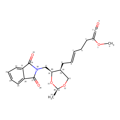 COC(=C=O)CCC=CC[C@H]1CO[C@@H](C)O[C@H]1CN1C(=O)c2ccccc2C1=O